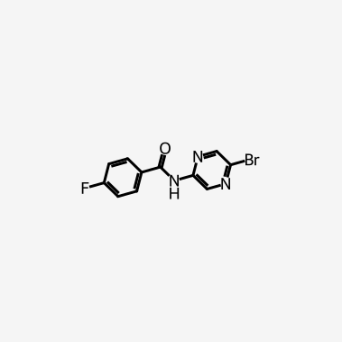 O=C(Nc1cnc(Br)cn1)c1ccc(F)cc1